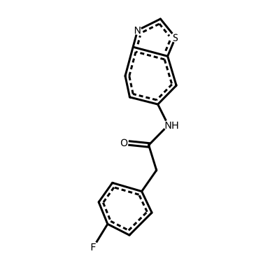 O=C(Cc1ccc(F)cc1)Nc1ccc2ncsc2c1